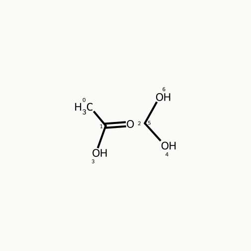 CC(=O)O.OCO